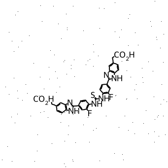 O=C(O)Cc1ccc2[nH]c(-c3ccc(NC(=S)Nc4ccc(-c5nc6cc(CC(=O)O)ccc6[nH]5)cc4F)c(F)c3)nc2c1